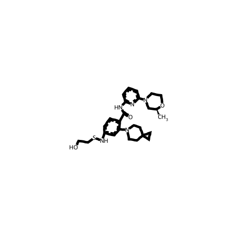 C[C@H]1CN(c2cccc(NC(=O)c3ccc(NSCCO)cc3N3CCC4(CC3)CC4)n2)CCO1